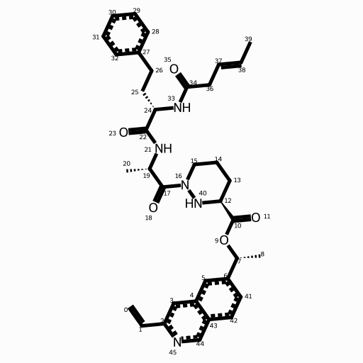 C=Cc1cc2cc([C@@H](C)OC(=O)[C@@H]3CCCN(C(=O)[C@H](C)NC(=O)[C@H](CCc4ccccc4)NC(=O)C/C=C/C)N3)ccc2cn1